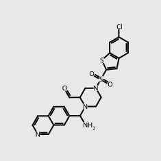 NC(c1ccc2ccncc2c1)N1CCN(S(=O)(=O)c2cc3ccc(Cl)cc3s2)CC1C=O